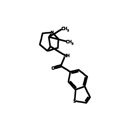 CC1(C)C(NC(=O)c2ccc3ccsc3c2)C2CCN1CC2